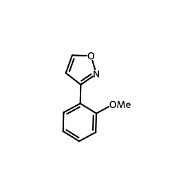 COc1ccccc1-c1ccon1